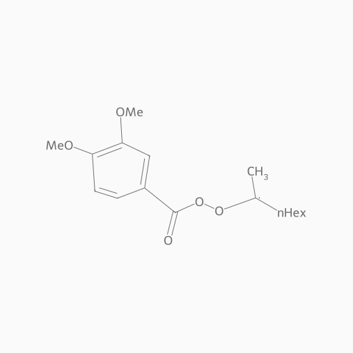 CCCCCC[C](C)OOC(=O)c1ccc(OC)c(OC)c1